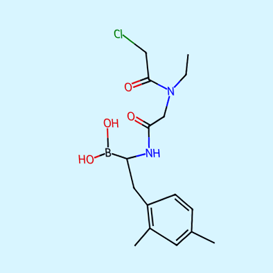 CCN(CC(=O)NC(Cc1ccc(C)cc1C)B(O)O)C(=O)CCl